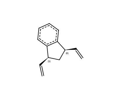 C=C[C@@H]1C[C@H](C=C)c2ccccc21